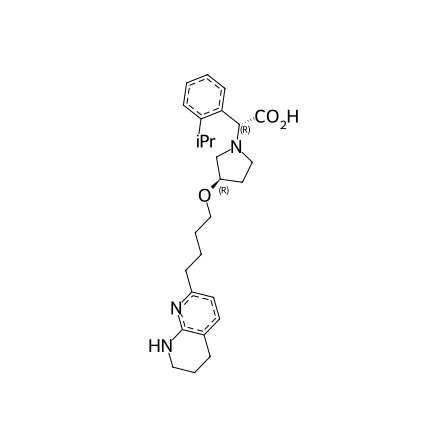 CC(C)c1ccccc1[C@H](C(=O)O)N1CC[C@@H](OCCCCc2ccc3c(n2)NCCC3)C1